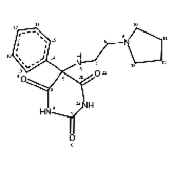 O=C1NC(=O)C(NCCN2CCCC2)(c2ccccc2)C(=O)N1